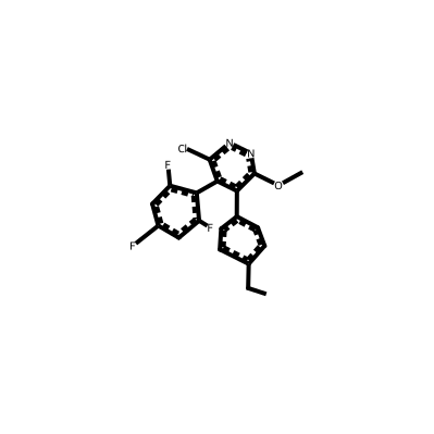 CCc1ccc(-c2c(OC)nnc(Cl)c2-c2c(F)cc(F)cc2F)cc1